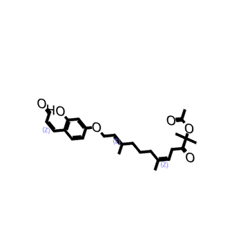 CC(=O)OC(C)(C)C(=O)C/C=C(/C)CCC/C(C)=C/COc1ccc(/C=C\C=O)c(O)c1